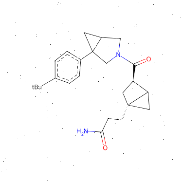 CC(C)(C)c1ccc(C23CC2CN(C(=O)[C@@H]2C[C@]4(CCC(N)=O)CC24)C3)cc1